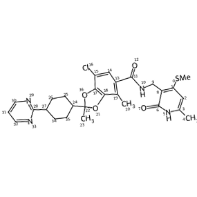 CSc1cc(C)[nH]c(=O)c1CNC(=O)c1cc(Cl)c2c(c1C)OC(C)(C1CCC(c3ncccn3)CC1)O2